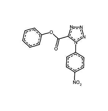 O=C(Oc1ccccc1)c1nnnn1-c1ccc([N+](=O)[O-])cc1